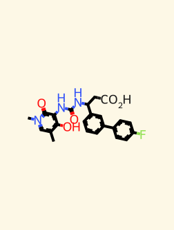 Cc1cn(C)c(=O)c(NC(=O)NC(CC(=O)O)c2cccc(-c3ccc(F)cc3)c2)c1O